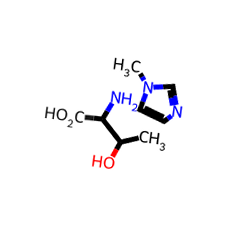 CC(O)C(N)C(=O)O.Cn1ccnc1